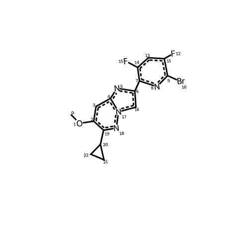 COc1cc2nc(-c3nc(Br)c(F)cc3F)cn2nc1C1CC1